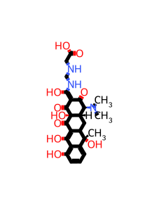 CN(C)[C@@H]1C(=O)/C(=C(/O)NCNCC(=O)O)C(=O)[C@@]2(O)C(=O)C3=C(O)c4c(O)cccc4[C@@](C)(O)C3C[C@@H]12